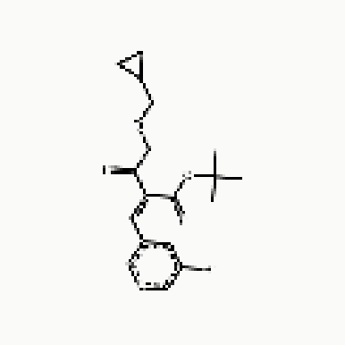 CC(C)(C)OC(=O)C(=Cc1cncc(Br)c1)C(=O)COCC1CC1